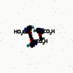 CC(C)=CCOc1cc(C(=O)O)nc2ccc(F)cc12.O=C(O)c1cc(OCC=CCOc2cc(C(=O)O)nc3ccc(F)cc23)c2cc(F)ccc2n1